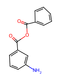 Nc1cccc(C(=O)OC(=O)c2ccccc2)c1